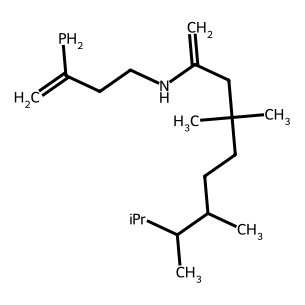 C=C(P)CCNC(=C)CC(C)(C)CCC(C)C(C)C(C)C